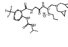 CCC[C@H](O)[C@H](CN(CC1CC1)CC1CC1)NC(=O)CNC(=O)c1cc(C(F)(F)F)ccc1NC(=O)NC(C)C